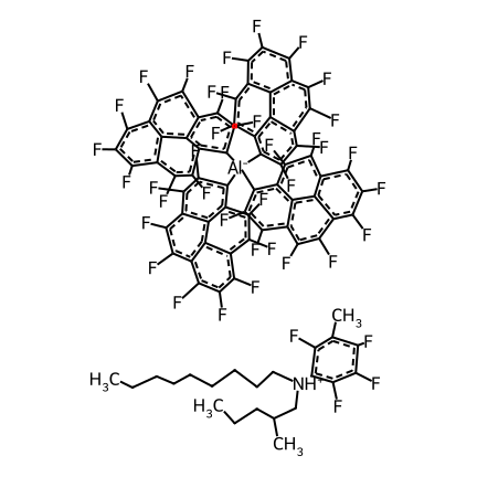 CCCCCCCCC[NH+](CC(C)CCC)c1c(F)c(C)c(F)c(F)c1F.Fc1c(F)c2c(F)c(F)c3c(F)c(F)[c]([Al-]([c]4c(F)c(F)c5c(F)c(F)c6c(F)c(F)c(F)c7c(F)c(F)c4c5c67)([c]4c(F)c(F)c5c(F)c(F)c6c(F)c(F)c(F)c7c(F)c(F)c4c5c67)[c]4c(F)c(F)c5c(F)c(F)c6c(F)c(F)c(F)c7c(F)c(F)c4c5c67)c4c(F)c(F)c(c1F)c2c34